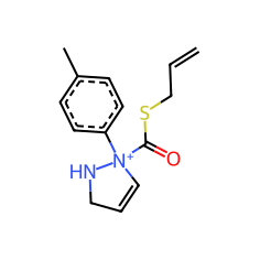 C=CCSC(=O)[N+]1(c2ccc(C)cc2)C=CCN1